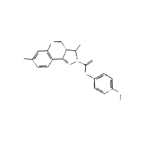 CC1C2COc3cc(C(F)(F)F)ccc3C2=NN1C(=O)Nc1ccc(OC(F)(F)F)cc1